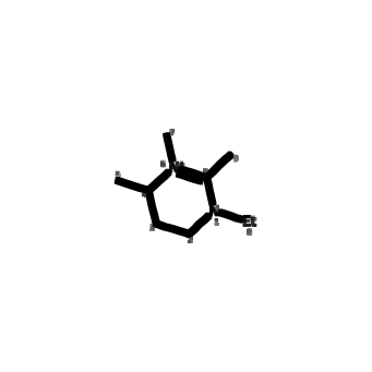 CCN1CCC(C)[N+](C)=C1C